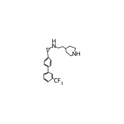 FC(F)(F)c1cccc(-c2ccc(C3CC3NCCC3CCNCC3)cc2)c1